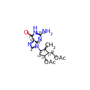 C=C1C(n2cnc3c(=O)[nH]c(N)nc32)CC(OC(C)=O)[C@@H]1COC(C)=O